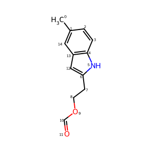 Cc1ccc2[nH]c(CCOC=O)cc2c1